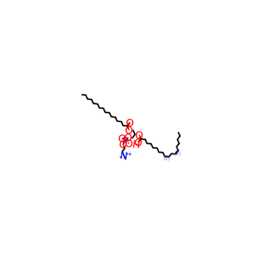 CCCCC/C=C\C/C=C\CCCCCCCC(=O)OC(COC(=O)CCCCCCCCCCCCCCC)COP(=O)(O)OCC[N+](C)(C)C